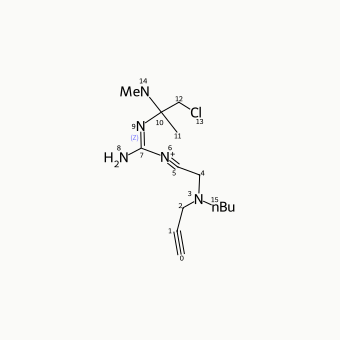 C#CCN(CC#[N+]/C(N)=N\C(C)(CCl)NC)CCCC